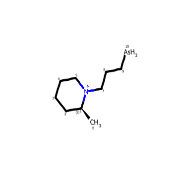 C[C@H]1CCCCN1CCC[AsH2]